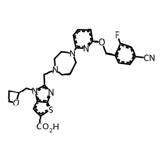 N#Cc1ccc(COc2cccc(N3CCCN(Cc4nc5sc(C(=O)O)cc5n4CC4CCO4)CC3)n2)c(F)c1